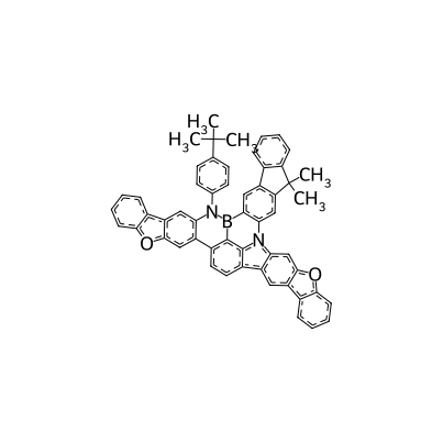 CC(C)(C)c1ccc(N2B3c4cc5c(cc4-n4c6cc7oc8ccccc8c7cc6c6ccc(c3c64)-c3cc4oc6ccccc6c4cc32)C(C)(C)c2ccccc2-5)cc1